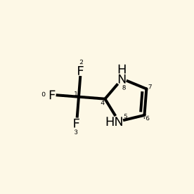 FC(F)(F)C1N[C]=CN1